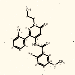 O=C(Nc1cc(=O)n(CCO)nc1-c1ccccc1C(F)(F)F)c1cc(OC(F)(F)F)ccc1F